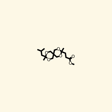 COC(=O)CCC1(C)OCC2(CO1)COC(C)(CC(C)C)OC2